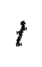 OCCOCCOCCNCCNCCN1CCCC1